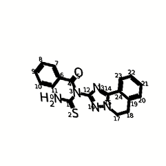 NC(=S)N(C(=O)c1ccccc1)c1nc2n(n1)CCc1ccccc1-2